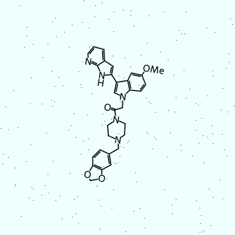 COc1ccc2c(c1)c(-c1cc3cccnc3[nH]1)cn2CC(=O)N1CCN(Cc2ccc3c(c2)OCO3)CC1